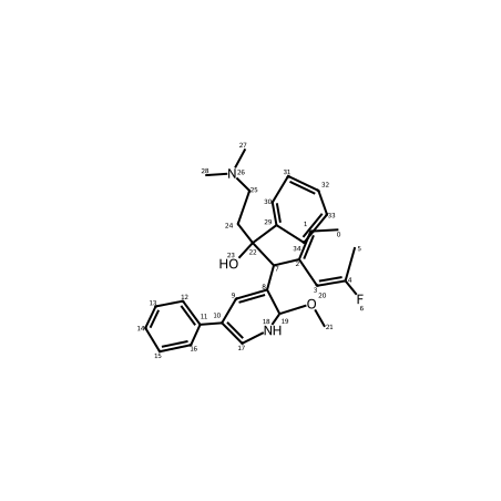 C/C=C(\C=C(/C)F)C(C1=CC(c2ccccc2)=CNC1OC)C(O)(CCN(C)C)c1ccccc1